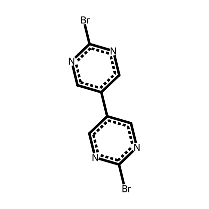 Brc1ncc(-c2cnc(Br)nc2)cn1